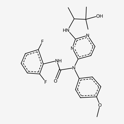 COc1ccc(N(C(=O)Nc2c(F)cccc2F)c2ccnc(NC(C)C(C)(C)O)n2)cc1